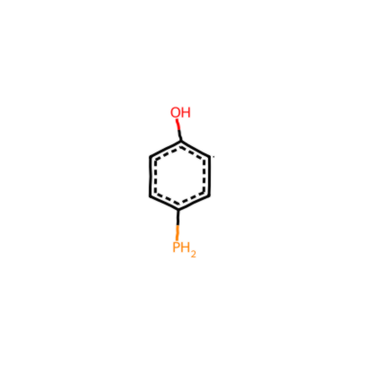 Oc1[c]cc(P)cc1